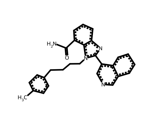 Cc1ccc(CCCCn2c(-c3cncc4ccccc34)nc3cccc(C(N)=O)c32)cc1